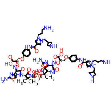 CC1(C)[C@H](NC(=O)/C(=N\O[C@@H](COc2ccc(NC(=O)c3cn(CCCN)[n+](CC4CNC4)c3)cc2)C(=O)O)c2csc(N)n2)C(=O)N1OS(=O)(=O)ON1C(=O)[C@@H](NC(=O)/C(=N\O[C@@H](COc2ccc(NC(=O)c3cn(CCCN)[n+](CC4CNC4)c3)cc2)C(=O)O)c2csc(N)n2)C1(C)C